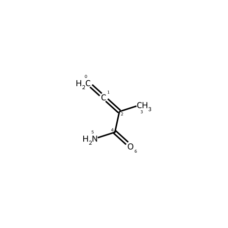 C=C=C(C)C(N)=O